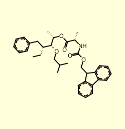 CC[C@H](Cc1ccccc1)[C@@H](OCC(C)C)[C@H](C)OC(=O)[C@H](C)NC(=O)OCC1c2ccccc2-c2ccccc21